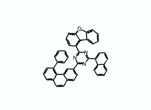 c1ccc(-c2cccc3ccc4ccc(-c5nc(-c6cccc7ccccc67)nc(-c6cccc7oc8ccccc8c67)n5)cc4c23)cc1